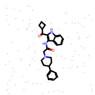 O=C(CN1CCC(c2ccccc2)CC1)Nc1c(C(=O)C2CCC2)[nH]c2ccccc12